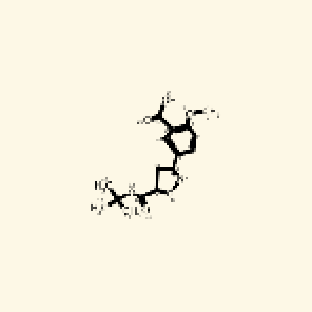 COc1ccc(C2=NOC(C(=O)OC(C)(C)C)C2)cc1C(=O)O